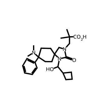 CN(C)C1(c2ccccc2)CCC2(CC1)CN(CC(C)(C)C(=O)O)C(=O)N2C(O)C1CCC1